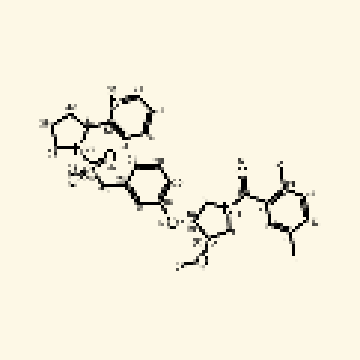 CO[C@@H]1CN(C(=O)c2cc(C)ccc2C)C[C@H]1Oc1cccc(CS(=O)(=O)N2CCCC2c2ccccn2)c1